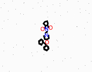 O=C1C2CCCCC2C(=O)N1CCN1CCC(OC(c2ccccc2)c2ccccc2)CC1